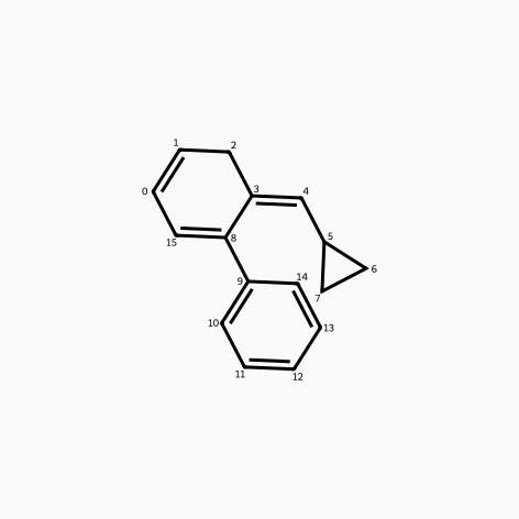 C1=CCC(=CC2CC2)C(c2ccccc2)=C1